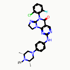 CC(C)N1[C@H](C)CN(c2ccc(Nc3ncc4c(n3)N3CCN=C3N(c3c(F)cccc3Cl)C4=O)cc2)C[C@@H]1C